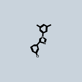 Cc1cc(C)cc(-n2cnc(-c3cccc(Cl)c3)c2)c1